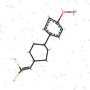 CCCOc1ccc(C2CCC(C=C(F)F)CC2)cc1